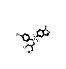 CCc1ccc(N(CC(CO)CCl)S(=O)(=O)c2ccc3[nH]ncc3c2)cc1